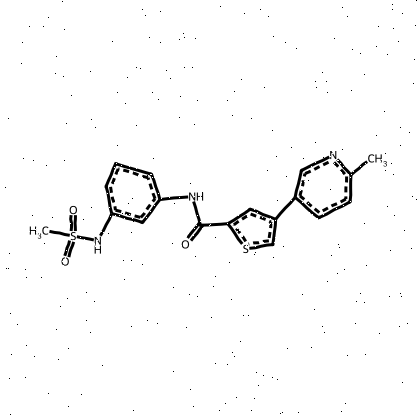 Cc1ccc(-c2csc(C(=O)Nc3cccc(NS(C)(=O)=O)c3)c2)cn1